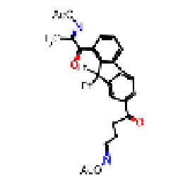 CCC1(CC)c2cc(C(=O)CCC=NOC(C)=O)ccc2-c2cccc(C(=O)C(C)=NOC(C)=O)c21